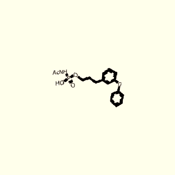 CC(=O)NP(=O)(O)OCCCc1cccc(Oc2ccccc2)c1